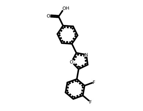 O=C(O)c1ccc(-c2ncc(-c3cccc(F)c3F)o2)cc1